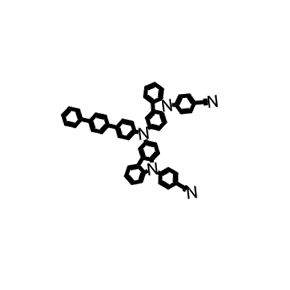 N#Cc1ccc(-n2c3ccccc3c3cc(N(c4ccc(-c5ccc(-c6ccccc6)cc5)cc4)c4ccc5c(c4)c4ccccc4n5-c4ccc(C#N)cc4)ccc32)cc1